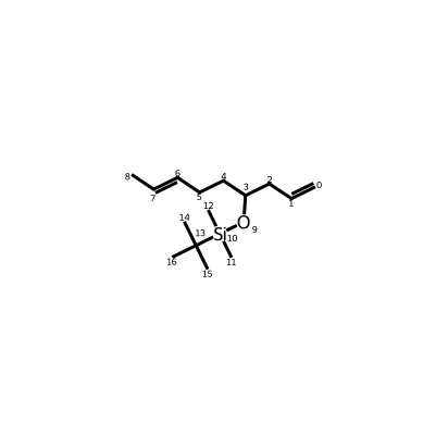 C=CCC(CCC=CC)O[Si](C)(C)C(C)(C)C